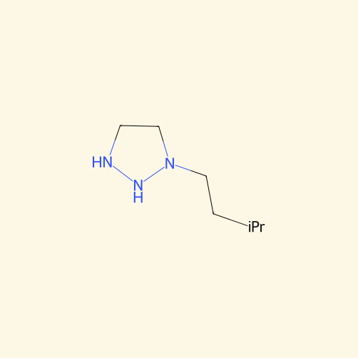 CC(C)CCN1CCNN1